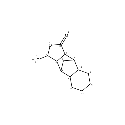 CC1OC(=O)C2C3CC(C4CCCCC43)C12